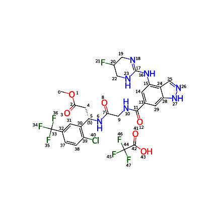 COC(=O)C[C@H](NC(=O)CNC(=O)c1cc(NC2=NCC(F)CN2)c2cn[nH]c2c1)c1cc(C(F)(F)F)ccc1Cl.O=C(O)C(F)(F)F